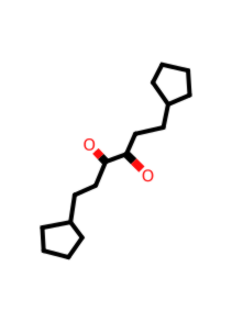 O=C(CCC1CCCC1)C(=O)CCC1CCCC1